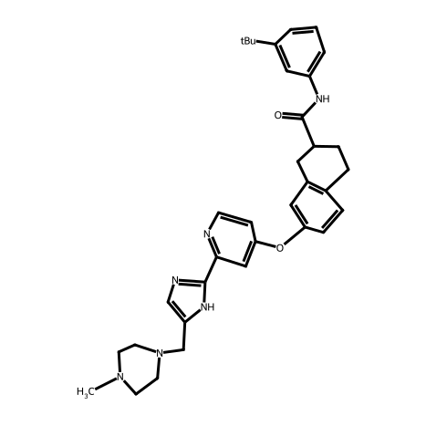 CN1CCN(Cc2cnc(-c3cc(Oc4ccc5c(c4)CC(C(=O)Nc4cccc(C(C)(C)C)c4)CC5)ccn3)[nH]2)CC1